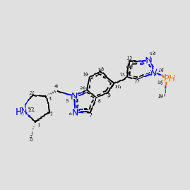 C[C@H]1C[C@@H](Cn2ncc3cc(-c4cnn(PI)c4)ccc32)CN1